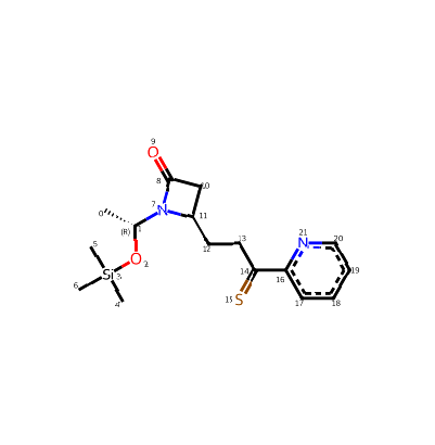 C[C@@H](O[Si](C)(C)C)N1C(=O)CC1CCC(=S)c1ccccn1